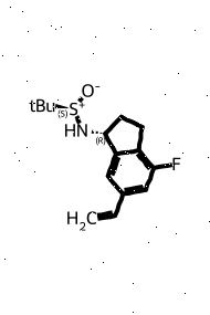 C=Cc1cc(F)c2c(c1)[C@H](N[S@+]([O-])C(C)(C)C)CC2